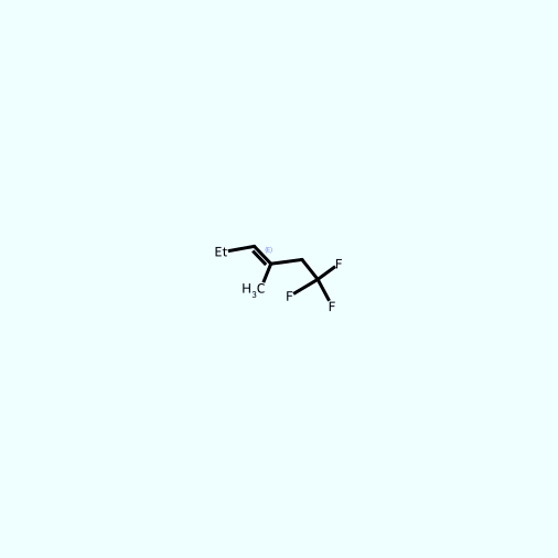 [CH2]C/C=C(\C)CC(F)(F)F